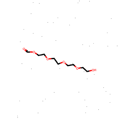 O=COCCOCCOCCOCCO